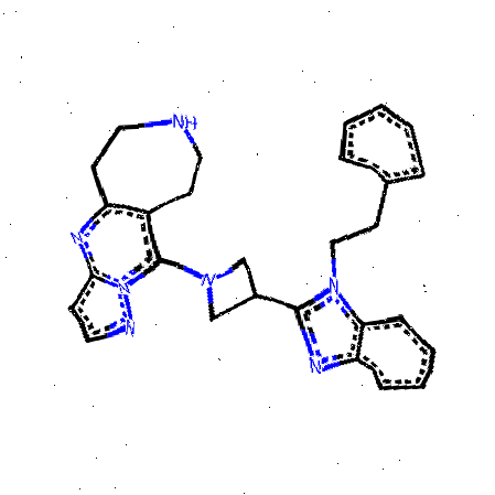 c1ccc(CCn2c(C3CN(c4c5c(nc6ccnn46)CCNCC5)C3)nc3ccccc32)cc1